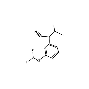 CC(C)C(C#N)c1cccc(OC(F)F)c1